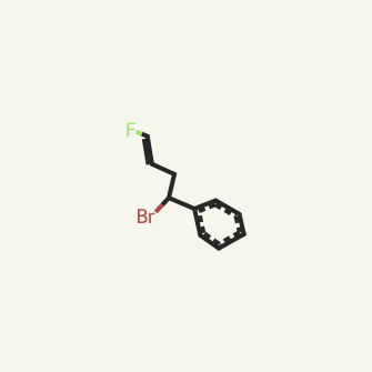 FC=CCC(Br)c1ccccc1